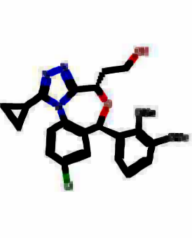 COc1cccc([C@@H]2O[C@@H](CCO)c3nnc(C4CC4)n3-c3ccc(Cl)cc32)c1OC